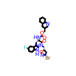 O=C(N[C@@H](Cc1c[nH]c2ccc(F)cc12)C(=O)NC[C@@H]1CC(Br)=NO1)OCc1cnc2ccccc2c1